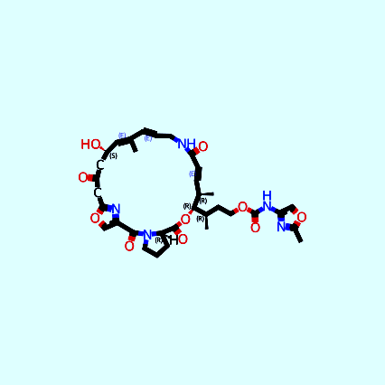 CC1=C\[C@@H](O)CC(=O)Cc2nc(co2)C(=O)N2CCC[C@@H]2C(=O)O[C@H]([C@H](C)CCOC(=O)Nc2coc(C)n2)[C@H](C)/C=C/C(=O)NC\C=C\1